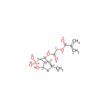 C=C(C)C(=O)OCC(=O)OC1C2C3CC1(C)CC3OS2(=O)=O